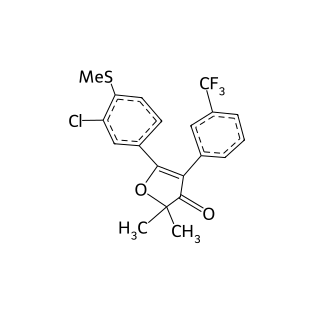 CSc1ccc(C2=C(c3cccc(C(F)(F)F)c3)C(=O)C(C)(C)O2)cc1Cl